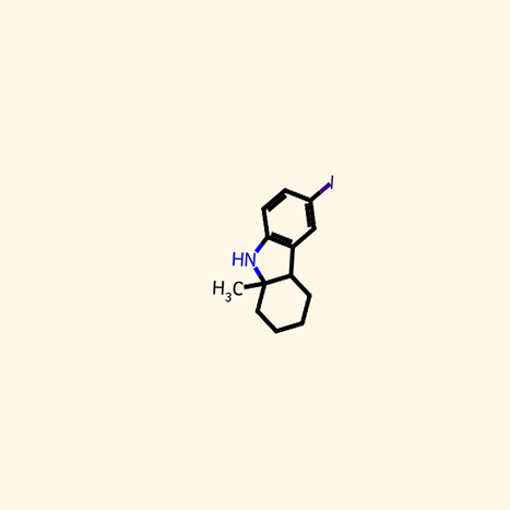 CC12CCCCC1c1cc(I)ccc1N2